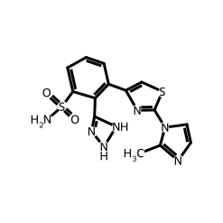 Cc1nccn1-c1nc(-c2cccc(S(N)(=O)=O)c2-c2n[nH][nH]2)cs1